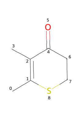 CC1=C(C)C(=O)CCS1